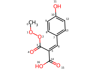 COOC(=O)C(=Cc1ccc(O)cc1)C(=O)O